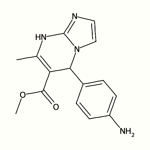 COC(=O)C1=C(C)Nc2nccn2C1c1ccc(N)cc1